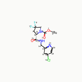 CC(C)(C)OC(=O)N1CC(F)(F)C[C@H]1C(=O)NCc1cc(Cl)ccn1